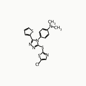 CN(C)c1ccc(-n2c(Sc3ncc(Cl)s3)nnc2-c2cccs2)cc1